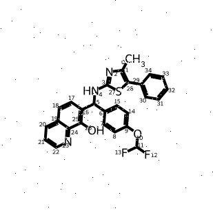 Cc1nc(NC(c2ccc(OC(F)F)cc2)c2ccc3cccnc3c2O)sc1-c1ccccc1